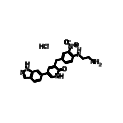 Cl.NCCNc1ccc(Cc2cc(-c3ccc4cn[nH]c4c3)c[nH]c2=O)cc1[N+](=O)[O-]